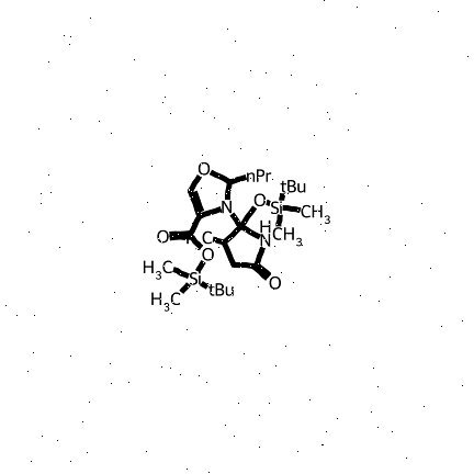 CCCC1OC=C(C(=O)O[Si](C)(C)C(C)(C)C)N1C1(O[Si](C)(C)C(C)(C)C)NC(=O)CC1C(F)(F)F